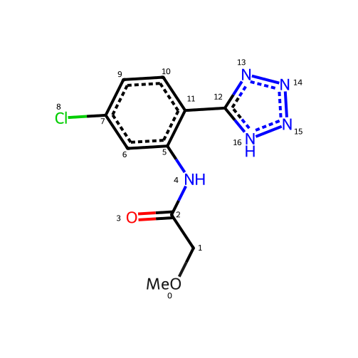 COCC(=O)Nc1cc(Cl)ccc1-c1nnn[nH]1